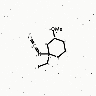 COC1CCCC(CI)(N=C=O)C1